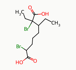 CCC(CCCC(Br)C(=O)O)C(Br)(CC)C(=O)O